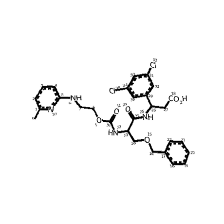 Cc1cccc(NCCOC(=O)NC(COCc2ccccc2)C(=O)NC(CC(=O)O)c2cc(Cl)cc(Cl)c2)n1